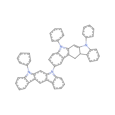 C1=C2C(Cc3c1n(-c1ccccc1)c1ccc(-n4c5ccccc5c5cc6c7ccccc7n(-c7ccccc7)c6cc54)cc31)c1ccccc1N2c1ccccc1